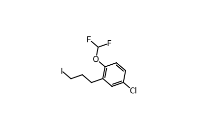 FC(F)Oc1ccc(Cl)cc1CCCI